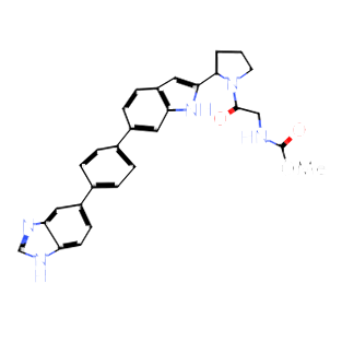 COC(=O)NCC(=O)N1CCCC1c1cc2ccc(-c3ccc(-c4ccc5[nH]cnc5c4)cc3)cc2[nH]1